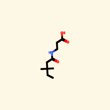 CCC(C)(C)CC(=O)NCCC(=O)O